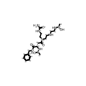 BC(=O)NCCN(CCNCCNB(C)O)C(=O)C[C@H](NB(C)O)C(=O)OCc1ccccc1